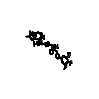 Cc1cc2c(NC34CC(NC(=O)COc5cc(F)c(F)c(F)c5)(C3)C4)nccn2n1